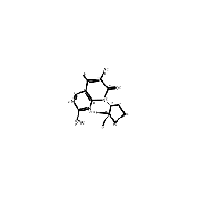 CSc1ncc2c(C)c(C(C)=O)c(=O)n([C@@H]3CCC[C@]3(C)F)c2n1